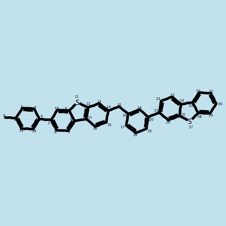 Cc1ccc(-c2ccc3c(c2)sc2cc(Cc4cccc(-c5ccc6c(c5)sc5ccccc56)c4)ccc23)cc1